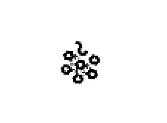 C=C/C(=C\C=C/C)N1c2ccccc2B2c3ccccc3N3c4ccccc4B4c5ccccc5N(c5ccccc5)c5cc1c2c3c54